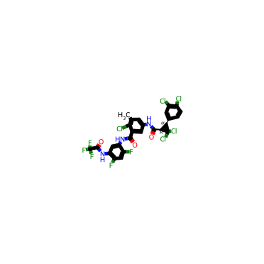 Cc1cc(NC(=O)[C@H]2[C@H](c3ccc(Cl)c(Cl)c3)C2(Cl)Cl)cc(C(=O)Nc2cc(NC(=O)C(F)(F)F)c(F)cc2F)c1Cl